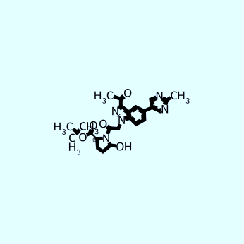 CC(=O)c1nn(CC(=O)N2C(O)CC[C@H]2C(=O)OC(C)(C)C)c2ccc(-c3cnc(C)nc3)cc12